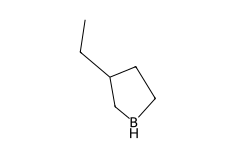 CCC1CBCC1